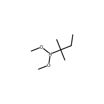 CCC(C)(C)N(OC)OC